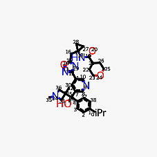 CC(C)c1ccc([C@](O)(c2cncc(-c3noc(CC4(NC(=O)C5CCOCC5)CC4)n3)c2)C2(C)CN(C)C2)cc1